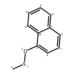 CSOc1cccc2ccccc12